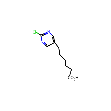 O=C(O)CCCCCc1cnc(Cl)nc1